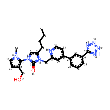 CCCCc1cn(-c2c(CO)ccn2C)c(=O)n1Cc1cc(-c2cccc(-c3nnn[nH]3)c2)ccn1